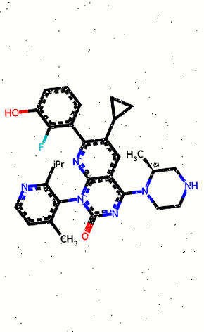 Cc1ccnc(C(C)C)c1-n1c(=O)nc(N2CCNC[C@@H]2C)c2cc(C3CC3)c(-c3cccc(O)c3F)nc21